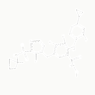 CONC(=O)c1cc(Cc2ccnc(S(=O)(=O)NC3(C)CCC3)c2F)c(F)c(F)c1Nc1ccc(C2CC2)cc1F